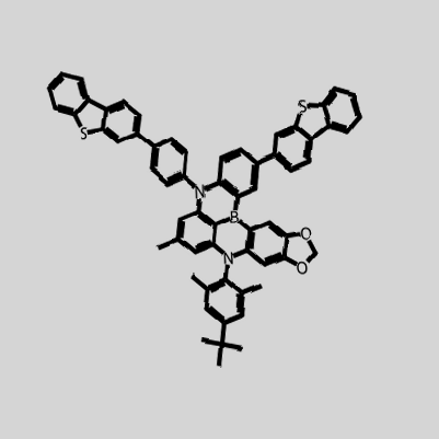 Cc1cc2c3c(c1)N(c1c(C)cc(C(C)(C)C)cc1C)c1cc4c(cc1B3c1cc(-c3ccc5c(c3)sc3ccccc35)ccc1N2c1ccc(-c2ccc3c(c2)sc2ccccc23)cc1)OCO4